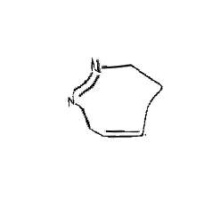 [C]1=CN=NCC1